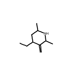 C=C1C(CC)CC(C)NC1C